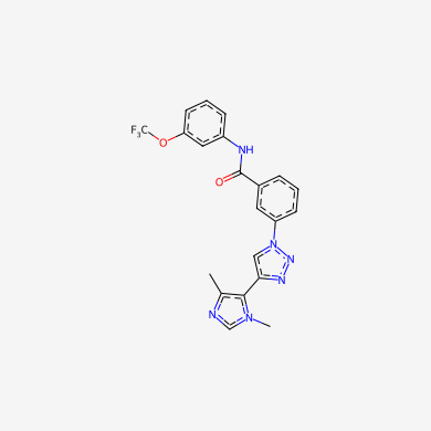 Cc1ncn(C)c1-c1cn(-c2cccc(C(=O)Nc3cccc(OC(F)(F)F)c3)c2)nn1